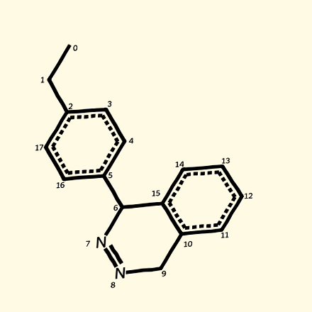 CCc1ccc(C2N=NCc3ccccc32)cc1